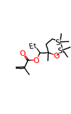 C=C(C)C(=O)OC(CC)C1(C)CC[Si](C)(C)[Si](C)(C)O1